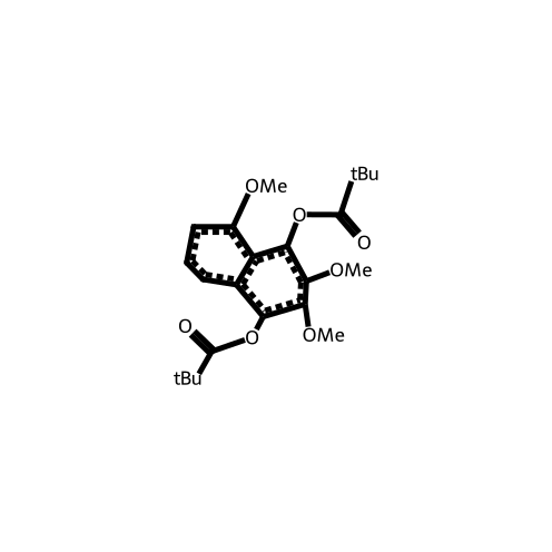 COc1c(OC)c(OC(=O)C(C)(C)C)c2c(OC)cccc2c1OC(=O)C(C)(C)C